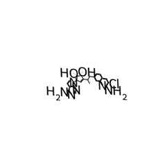 CC(Cc1ccc2cc(Cl)c(N)nc2c1)C1=C[C@@H](n2ccc3c(N)ncnc32)[C@H](O)[C@@H]1O